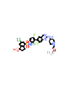 COCCN1CCC(Nc2ncc3cc(-c4c(F)ccc(NS(=O)(=O)c5cc(Cl)cc6c5CC[C@H]6O)c4F)c(F)cc3n2)CC1